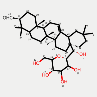 CC1(C)CC[C@]2([C@H](O)[C@H]3OC(CO)[C@H](O)C(O)C3O)CC[C@]3(C)C(=CCC4[C@@]5(C)CC[C@H](C=O)C(C)(C)C5CC[C@]43C)C2C1